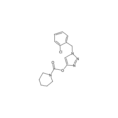 O=C(Oc1cn(Cc2ccccc2Cl)nn1)N1CCCCC1